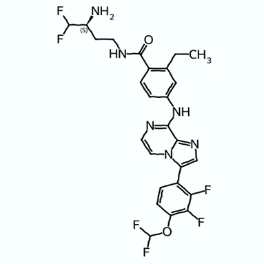 CCc1cc(Nc2nccn3c(-c4ccc(OC(F)F)c(F)c4F)cnc23)ccc1C(=O)NCC[C@H](N)C(F)F